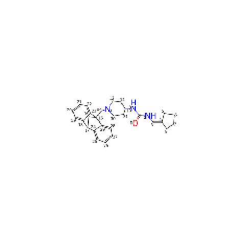 O=C(NCC1CCCC1)NC1CCN(CC23CC(c4ccccc42)c2ccccc23)CC1